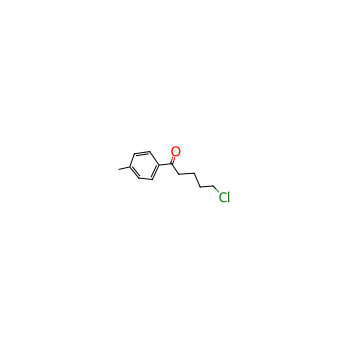 Cc1ccc(C(=O)CCCCCl)cc1